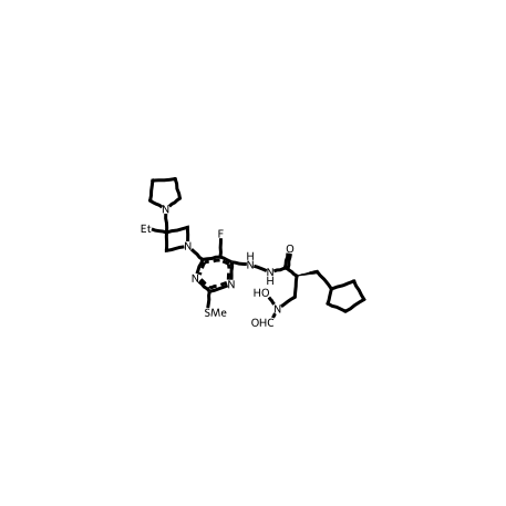 CCC1(N2CCCC2)CN(c2nc(SC)nc(NNC(=O)[C@@H](CC3CCCC3)CN(O)C=O)c2F)C1